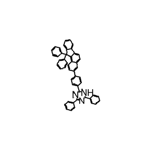 c1ccc(C2=NC(c3ccccc3)NC(c3ccc(-c4ccc5c6c(ccc5c4)-c4ccccc4C6(c4ccccc4)c4ccccc4)cc3)=N2)cc1